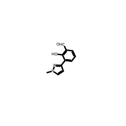 Cn1ccc(-c2cccc(C=O)c2O)n1